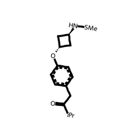 CSN[C@H]1C[C@H](Oc2ccc(CC(=O)C(C)C)cc2)C1